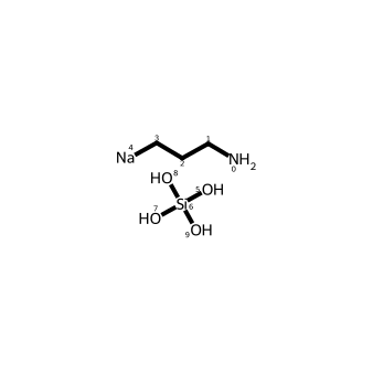 NCC[CH2][Na].O[Si](O)(O)O